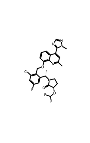 Cc1cc(-c2ncnn2C)c2cccc(OCc3c(Cl)cc(F)cc3[C@H](C)N3CC[C@@H](OC(F)F)C3=O)c2n1